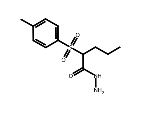 CCCC(C(=O)NN)S(=O)(=O)c1ccc(C)cc1